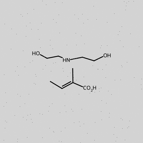 CC=C(C)C(=O)O.OCCNCCO